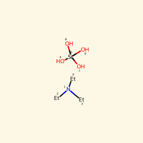 CCN(CC)CC.O[Si](O)(O)O